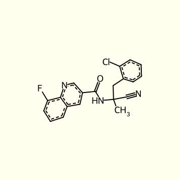 CC(C#N)(Cc1ccccc1Cl)NC(=O)c1cnc2c(F)cccc2c1